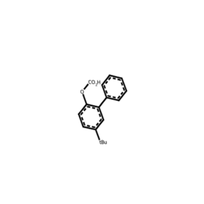 CC(C)(C)c1ccc(OC(=O)O)c(-c2ccccc2)c1